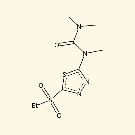 CCS(=O)(=O)c1nnc(N(C)C(=O)N(C)C)s1